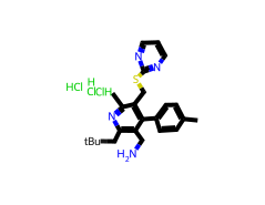 Cc1ccc(-c2c(CSc3ncccn3)c(C)nc(CC(C)(C)C)c2CN)cc1.Cl.Cl.Cl